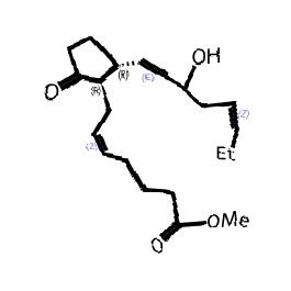 CC/C=C\CC(O)/C=C/[C@H]1CCC(=O)[C@@H]1C/C=C\CCCC(=O)OC